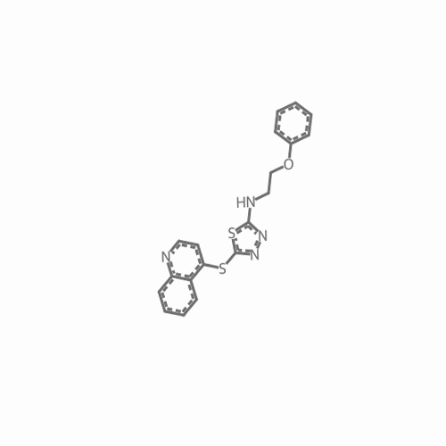 c1ccc(OCCNc2nnc(Sc3ccnc4ccccc34)s2)cc1